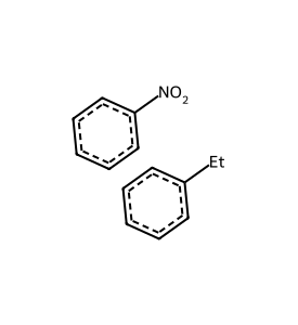 CCc1ccccc1.O=[N+]([O-])c1ccccc1